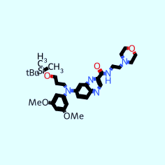 COc1cc(OC)cc(N(CCCO[Si](C)(C)C(C)(C)C)c2ccc3ncc(C(=O)NCCN4CCOCC4)nc3c2)c1